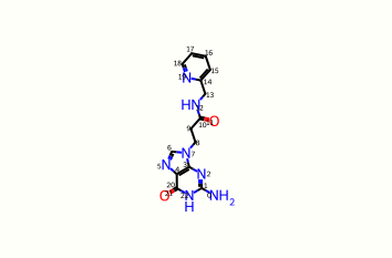 Nc1nc2c(ncn2CCC(=O)NCc2ccccn2)c(=O)[nH]1